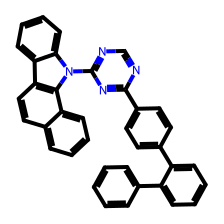 c1ccc(-c2ccccc2-c2ccc(-c3ncnc(-n4c5ccccc5c5ccc6ccccc6c54)n3)cc2)cc1